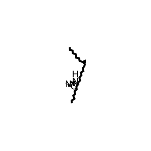 CCCCCCCCCC(CCCCCCCC1CC1CCCCCCCC)NC(=O)CN(C)C